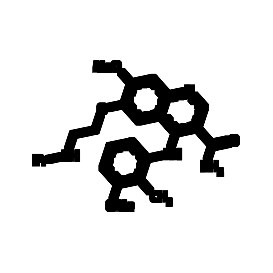 COc1cc2ncc(C(N)=O)c(Nc3cccc(OC)c3C)c2cc1OCCNC(C)C